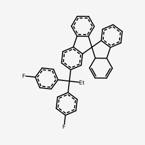 CCC(c1ccc(F)cc1)(c1ccc(F)cc1)c1ccc2c(c1)C1(c3ccccc3-2)c2ccccc2C2C=CC=CC21